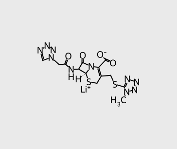 Cn1nnnc1SCC1=C(C(=O)[O-])N2C(=O)C(NC(=O)Cn3cnnn3)[C@@H]2SC1.[Li+]